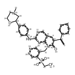 C=C(c1ccccc1)c1cc2cnc(Nc3ccc(C4CN(C)CCO4)cc3)nc2n(Cc2cnncc2S(=O)(=O)CC(F)(F)F)c1=O